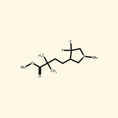 CC(C)(C)OC(=O)C(C)(C)CCC1CN(C(C)(C)C)CC1(F)F